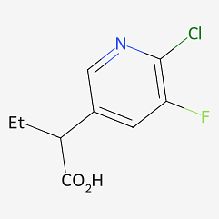 CCC(C(=O)O)c1cnc(Cl)c(F)c1